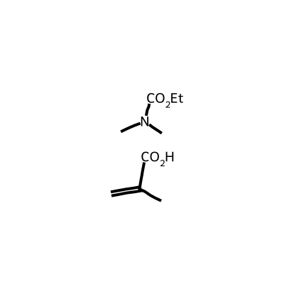 C=C(C)C(=O)O.CCOC(=O)N(C)C